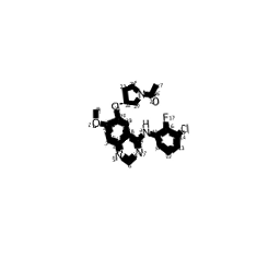 COc1cc2ncnc(Nc3cccc(Cl)c3F)c2cc1O[C@@H]1CCN(C(C)=O)C1